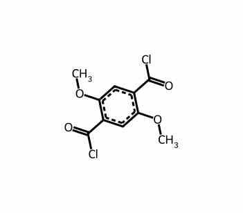 COc1cc(C(=O)Cl)c(OC)cc1C(=O)Cl